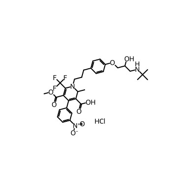 COC(=O)C1=C(C(F)(F)F)N(CCCc2ccc(OCC(O)CNC(C)(C)C)cc2)C(C)C(C(=O)O)=C1c1cccc([N+](=O)[O-])c1.Cl